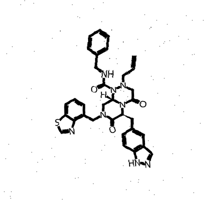 C=CCN1CC(=O)N2[C@@H](Cc3ccc4[nH]ncc4c3)C(=O)N(Cc3cccc4scnc34)C[C@@H]2N1C(=O)NCc1ccccc1